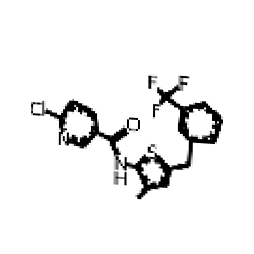 Cc1cc(Cc2cccc(C(F)(F)F)c2)sc1NC(=O)c1ccc(Cl)nc1